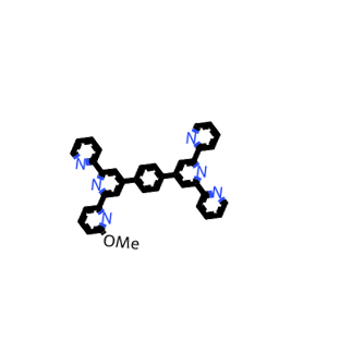 COc1cccc(-c2cc(-c3ccc(-c4cc(-c5ccccn5)nc(-c5ccccn5)c4)cc3)cc(-c3ccccn3)n2)n1